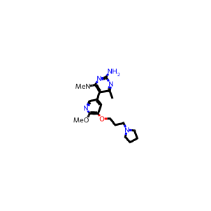 CNc1nc(N)nc(C)c1-c1cnc(OC)c(OCCCN2CCCC2)c1